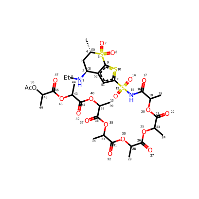 CCN[C@H]1C[C@H](C)S(=O)(=O)c2sc(S(=O)(=O)NC(=O)C(C)OC(=O)C(C)OC(=O)C(C)OC(=O)C(C)OC(=O)C(C)OC(=O)C(C)OC(=O)C(C)OC(C)=O)cc21